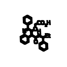 CCC(NC(=O)c1c(OCC(=O)O)c(-c2ccccc2)nc2ccccc12)c1ccccc1